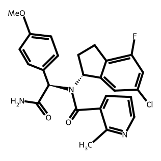 COc1ccc([C@H](C(N)=O)N(C(=O)c2cccnc2C)[C@@H]2CCc3c(F)cc(Cl)cc32)cc1